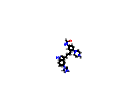 CC(=O)Nc1ccc(N2CCN(C)CC2)c(CCCc2c[nH]c3ccc(-n4cnnc4)cc23)c1